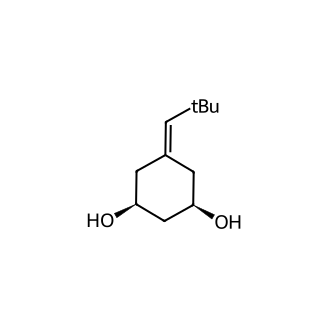 CC(C)(C)/C=C1\C[C@@H](O)C[C@@H](O)C1